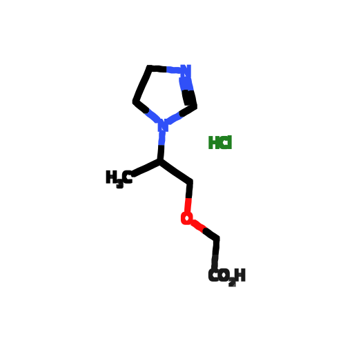 CC(COCC(=O)O)N1C=NCC1.Cl